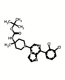 CC1(NC(=O)OC(C)(C)C)CCN(c2cnc(-c3cccc(Cl)c3Cl)c3nccn23)CC1